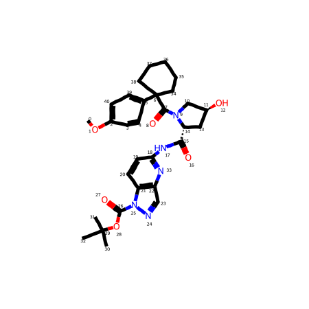 COc1ccc(C2(C(=O)N3C[C@@H](O)C[C@@H]3C(=O)Nc3ccc4c(cnn4C(=O)OC(C)(C)C)n3)CCCCC2)cc1